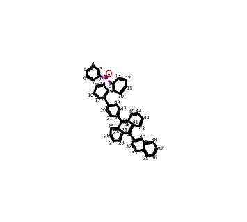 O=P(c1ccccc1)(c1ccccc1)c1cccc(-c2ccc(-c3c4ccccc4c(-c4ccc5ccccc5c4)c4ccccc34)cc2)c1